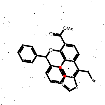 COC(=O)c1ccc2c(CBr)c3scnc3nc2c1OC(c1ccccc1)c1ccccc1